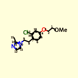 COCCOc1ccc(CCn2ccnc2C)c(Cl)c1